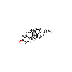 CC(=O)OC[C@@H]1CC[C@@H]2[C@@H]3CCC4=CC(=O)CC[C@]4(C)[C@H]3CC[C@]12C